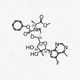 CC[C@@H](OP(=O)(N[C@@H](C)C(=O)OC)Oc1ccccc1)[C@H]1O[C@@H](n2cc(F)c3c(C)ncnc32)[C@](C)(O)[C@@H]1O